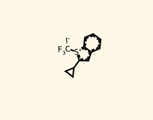 FC(F)(F)[s+]1c(C2CC2)cc2ccccc21.[I-]